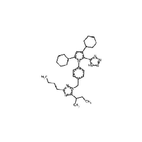 CCCCc1nc(C(C)CC)n(Cc2ccc(-n3c(C4CCCCC4)cc(C4CCCCC4)c3-c3nnn[nH]3)cc2)n1